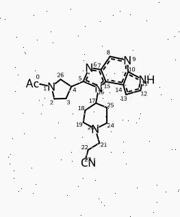 CC(=O)N1CCC(c2nc3cnc4[nH]ccc4c3n2C2CCN(CCC#N)CC2)C1